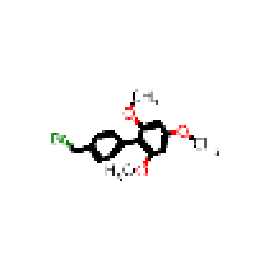 COc1cc(OC)c(-c2ccc(CBr)cc2)c(OC)c1